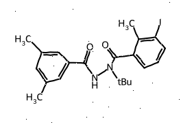 Cc1cc(C)cc(C(=O)NN(C(=O)c2cccc(I)c2C)C(C)(C)C)c1